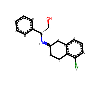 OC[C@H](/N=C1/CCc2c(Br)cccc2C1)c1ccccc1